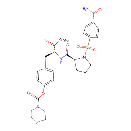 COC(=O)[C@H](Cc1ccc(OC(=O)N2CCSCC2)cc1)NC(=O)[C@@H]1CCCN1S(=O)(=O)c1ccc(C(N)=O)cc1